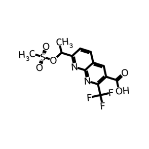 CC(OS(C)(=O)=O)c1ccc2cc(C(=O)O)c(C(F)(F)F)nc2n1